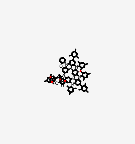 Cc1cc(C)c(-c2cc3c4c(c2)N2c5ccccc5Oc5cccc(c52)B4c2cc4c(cc2N3)N(c2c(C)cc(C)cc2C)c2cc(-c3c(C)cc(C)cc3C)cc3c2B4c2cc4c(cc2N3c2c(C)cc(C)cc2C)N(c2c(C)cc(C)cc2C)c2cc(-c3c(C)cc(C)cc3C)cc3c2B4c2cccc4c2N3c2ccccc2O4)c(C)c1